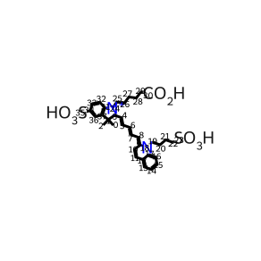 CC1(C)C(/C=C/C=C/C=C2\C=Cc3ccccc3N2CCCCS(=O)(=O)O)=[N+](CCCCCC(=O)O)c2ccc(S(=O)(=O)O)cc21